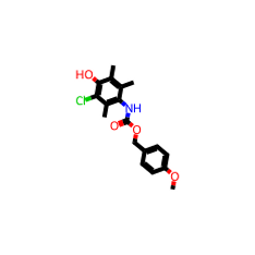 COc1ccc(COC(=O)Nc2c(C)c(C)c(O)c(Cl)c2C)cc1